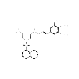 COc1cc(C=CCN(C)CCN(CCN(C)C)S(=O)(=O)c2cccc3cnccc23)cc(OC)c1OC